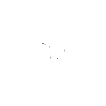 C[C@H]1OCCC2(C)C[C@@H]12